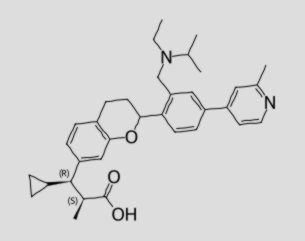 CCN(Cc1cc(-c2ccnc(C)c2)ccc1C1CCc2ccc([C@H](C3CC3)[C@H](C)C(=O)O)cc2O1)C(C)C